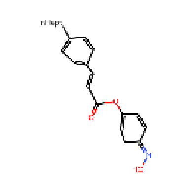 CCCCCCCc1ccc(C=CC(=O)OC2=CCC(=NO)C=C2)cc1